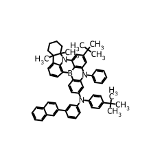 CC(C)(C)c1ccc(N(c2cccc(-c3ccc4ccccc4c3)c2)c2ccc3c(c2)N(c2ccccc2)c2cc(C(C)(C)C)cc4c2B3c2cccc3c2N4C2(C)CCCCC32C)cc1